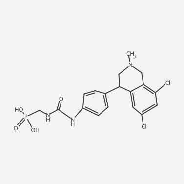 CN1Cc2c(Cl)cc(Cl)cc2C(c2ccc(NC(=O)NCP(=O)(O)O)cc2)C1